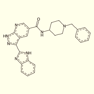 O=C(NC1CCN(Cc2ccccc2)CC1)c1cnc2[nH]nc(-c3nc4ccccc4[nH]3)c2c1